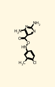 Cc1cc(NOC(=O)c2cnc(N)nc2N)ccc1Cl